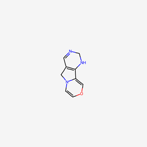 C1=CN2CC3=C(NCN=C3)C2=CO1